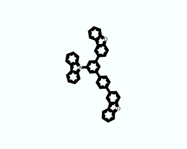 c1ccc2c(c1)oc1ccc(-c3ccc(-c4cc(-c5ccc6oc7ccccc7c6c5)cc(-n5c6ccccc6c6ccccc65)c4)cc3)cc12